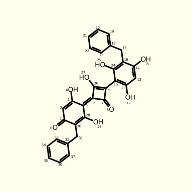 O=C1C=C(O)/C(=C2/C(=O)C(c3c(O)cc(O)c(Cc4ccccc4)c3O)=C2O)C(O)=C1Cc1ccccc1